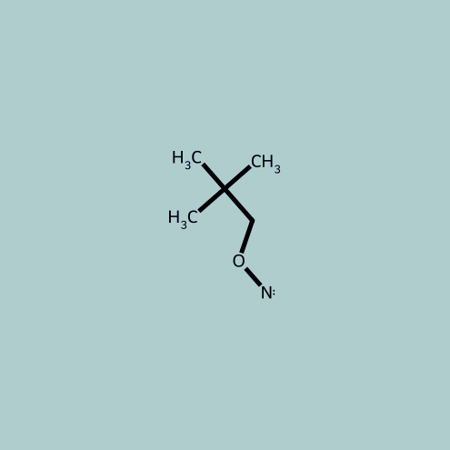 CC(C)(C)CO[N]